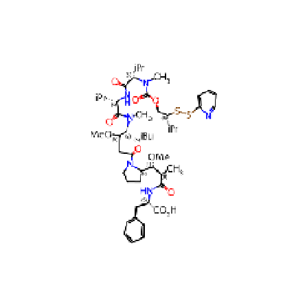 CC[C@H](C)[C@@H]([C@@H](CC(=O)N1CCC[C@@H]1[C@H](OC)[C@@H](C)C(=O)N[C@@H](Cc1ccccc1)C(=O)O)OC)N(C)C(=O)[C@@H](NC(=O)[C@H](C(C)C)N(C)C(=O)OC[C@H](SSc1ccccn1)C(C)C)C(C)C